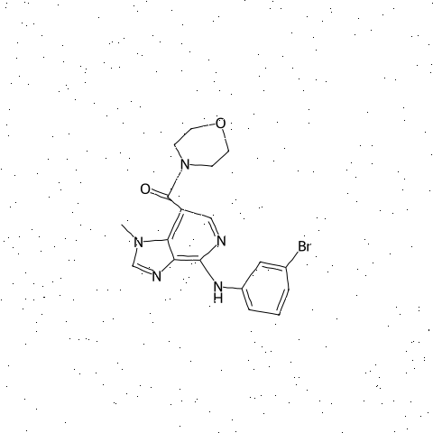 Cn1cnc2c(Nc3cccc(Br)c3)ncc(C(=O)N3CCOCC3)c21